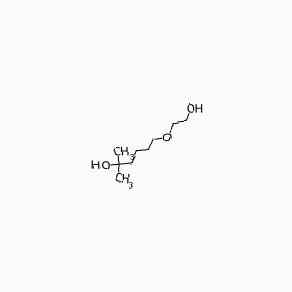 CC(C)(O)CCCCOCCO